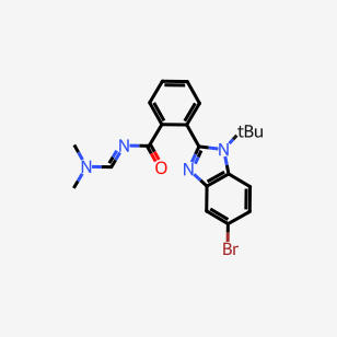 CN(C)/C=N/C(=O)c1ccccc1-c1nc2cc(Br)ccc2n1C(C)(C)C